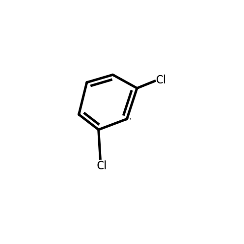 Clc1[c]c(Cl)ccc1